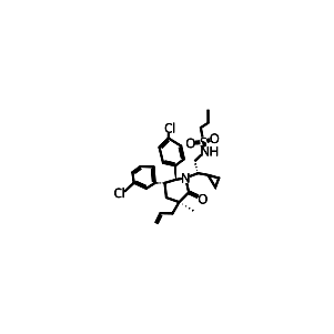 C=CC[C@@]1(C)C[C@H](c2cccc(Cl)c2)[C@@H](c2ccc(Cl)cc2)N([C@H](CNS(=O)(=O)CCC)C2CC2)C1=O